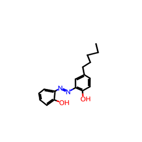 CCCCCc1ccc(O)c(N=Nc2ccccc2O)c1